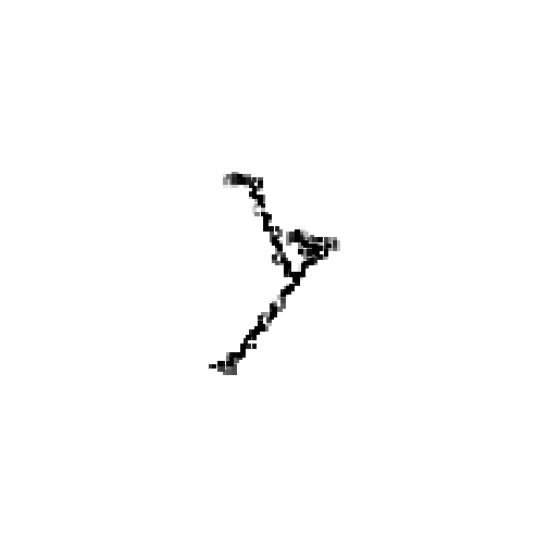 CCCCOCCOCCOCCOCCN(CCC[Si](OCC)(OCC)OCC)CCOCCOCCOCCOCCCC